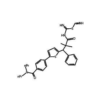 CCCN(CCC)C(=O)c1ccc(-c2ccc(C(c3ccccc3)C(C)(C)C(=O)NC(=N)SC=N)s2)cc1